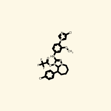 COc1cc(NC2=NN3CCCCC(c4ccc(Cl)cc4)C3N2OC(=O)C(F)(F)F)ccc1-n1cnc(Cl)c1